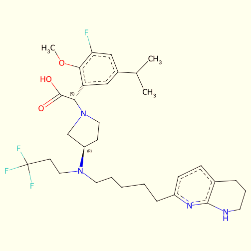 COc1c(F)cc(C(C)C)cc1[C@@H](C(=O)O)N1CC[C@@H](N(CCCCCc2ccc3c(n2)NCCC3)CCC(F)(F)F)C1